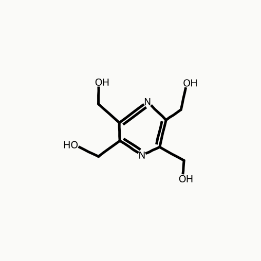 OCc1nc(CO)c(CO)nc1CO